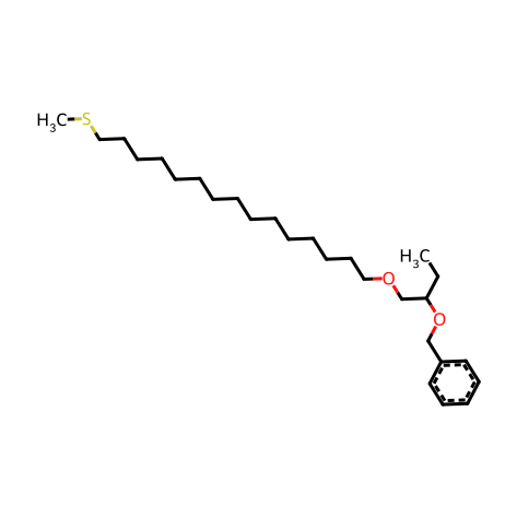 CCC(COCCCCCCCCCCCCCCCSC)OCc1ccccc1